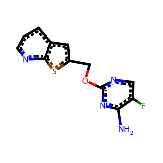 Nc1nc(OCc2cc3cccnc3s2)ncc1F